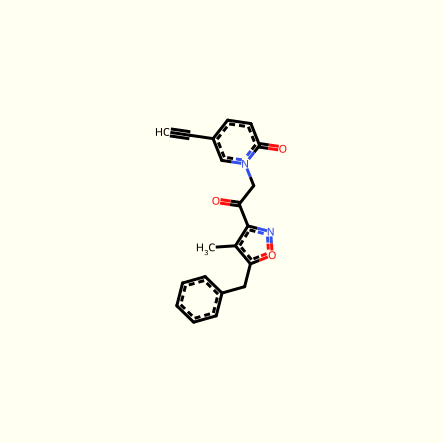 C#Cc1ccc(=O)n(CC(=O)c2noc(Cc3ccccc3)c2C)c1